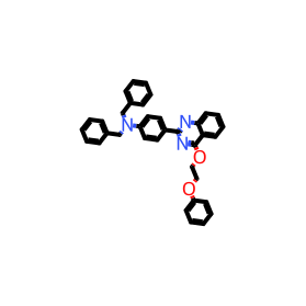 c1ccc(CN(Cc2ccccc2)c2ccc(-c3nc(OCCOc4ccccc4)c4ccccc4n3)cc2)cc1